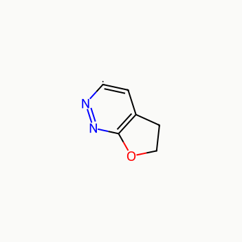 [c]1cc2c(nn1)OCC2